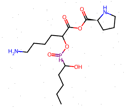 CCCCC(O)[PH](=O)OC(CCCCN)C(=O)OC(=O)[C@@H]1CCCN1